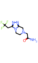 NC(=O)CN1CCn2c(nnc2CC(F)(F)F)C1